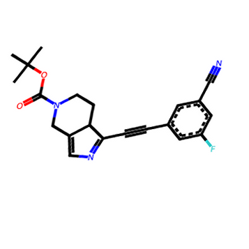 CC(C)(C)OC(=O)N1CCC2C(=CN=C2C#Cc2cc(F)cc(C#N)c2)C1